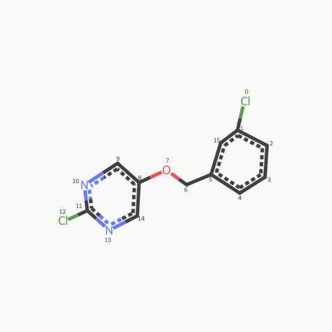 Clc1cccc(COc2cnc(Cl)nc2)c1